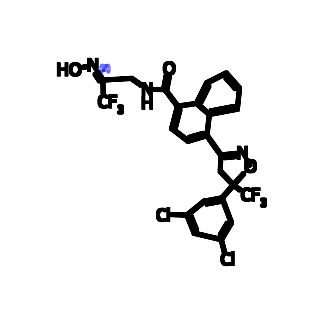 O=C(NC/C(=N/O)C(F)(F)F)c1ccc(C2=NOC(c3cc(Cl)cc(Cl)c3)(C(F)(F)F)C2)c2ccccc12